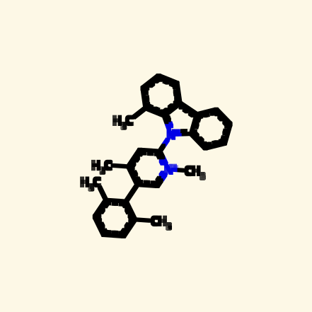 Cc1cc(-n2c3ccccc3c3cccc(C)c32)[n+](C)cc1-c1c(C)cccc1C